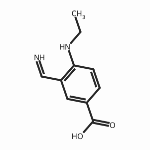 CCNc1ccc(C(=O)O)cc1C=N